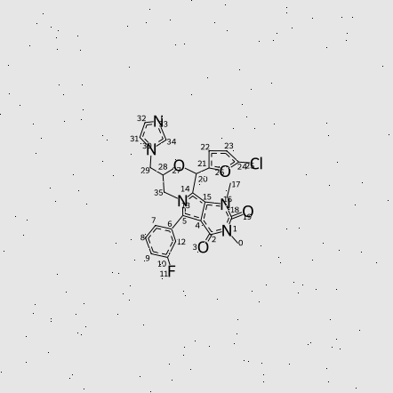 Cn1c(=O)c2c(-c3cccc(F)c3)n3c(c2n(C)c1=O)C(c1ccc(Cl)o1)OC(Cn1ccnc1)C3